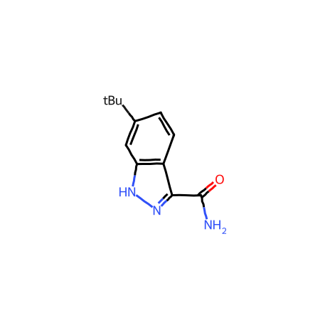 CC(C)(C)c1ccc2c(C(N)=O)n[nH]c2c1